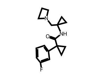 O=C(NC1(CN2CCC2)CC1)C1(c2cccc(F)c2)CC1